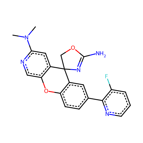 CN(C)c1cc2c(cn1)Oc1ccc(-c3ncccc3F)cc1C21COC(N)=N1